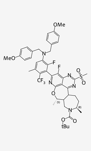 COc1ccc(CN(Cc2ccc(OC)cc2)c2cc(C)c(C(F)(F)F)c(-c3nc4c5c(nc(S(C)(=O)=O)nc5c3F)C3CC[C@@H](C)N(C(=O)OC(C)(C)C)CC3[C@H](C)O4)c2F)cc1